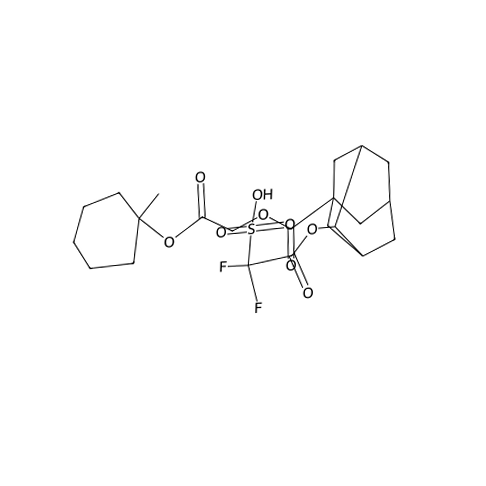 CC1(OC(=O)COC(=O)C23CC4CC(C2)C(OC(=O)C(F)(F)S(=O)(=O)O)C(C4)C3)CCCCC1